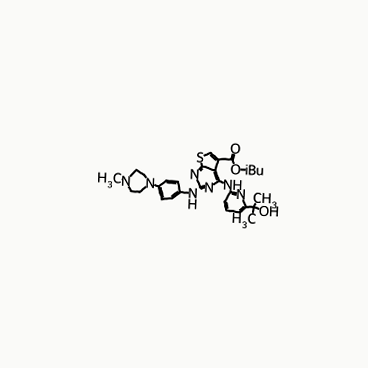 CCC(C)OC(=O)c1csc2nc(Nc3ccc(N4CCN(C)CC4)cc3)nc(Nc3cccc(C(C)(C)O)n3)c12